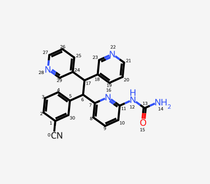 N#Cc1cccc(C(c2cccc(NC(N)=O)n2)C(c2cccnc2)c2cccnc2)c1